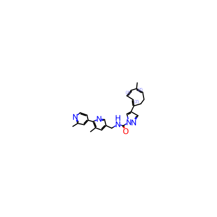 CC1=C/CC/C(c2cnn(C(=O)NCc3cnc(-c4ccnc(C)c4)c(C)c3)c2)=C/C=C\1